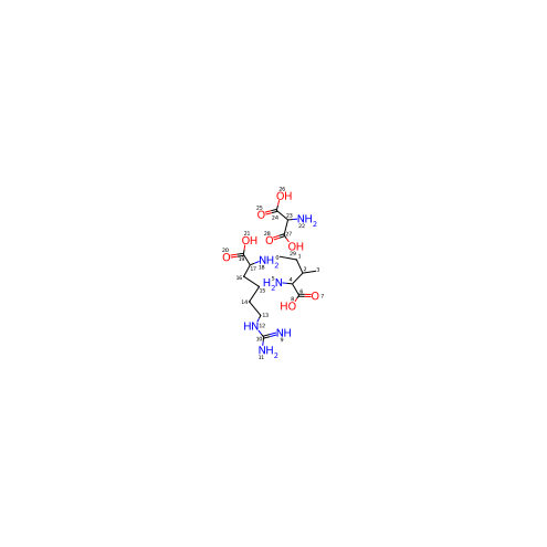 CCC(C)C(N)C(=O)O.N=C(N)NCCCCC(N)C(=O)O.NC(C(=O)O)C(=O)O